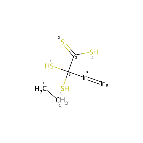 CC.S=C(S)[C](S)(S)[Ir]=[Ir]